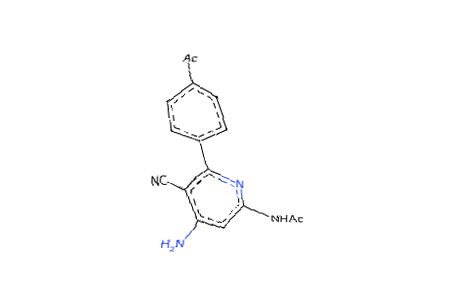 CC(=O)Nc1cc(N)c(C#N)c(-c2ccc(C(C)=O)cc2)n1